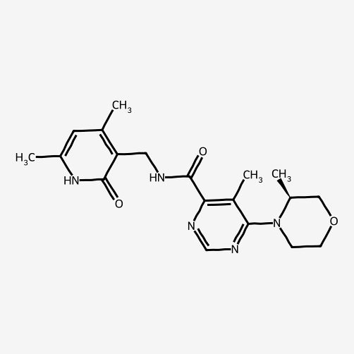 Cc1cc(C)c(CNC(=O)c2ncnc(N3CCOC[C@@H]3C)c2C)c(=O)[nH]1